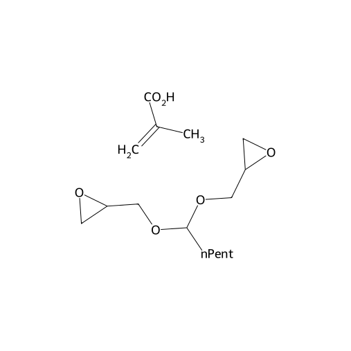 C=C(C)C(=O)O.CCCCCC(OCC1CO1)OCC1CO1